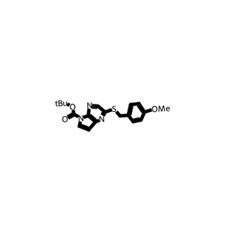 COc1ccc(CSc2cnc3c(ccn3C(=O)OC(C)(C)C)n2)cc1